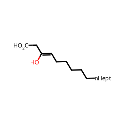 CCCCCCCCCCCCC=C(O)CC(=O)O